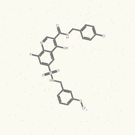 O=C(NCc1ccc(Cl)cc1)c1cnc2c(F)cc(S(=O)(=O)NCc3cccc(OC(F)(F)F)c3)cc2c1O